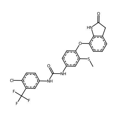 CSc1cc(NC(=O)Nc2ccc(Cl)c(C(F)(F)F)c2)ccc1Oc1cccc2c1NC(=O)C2